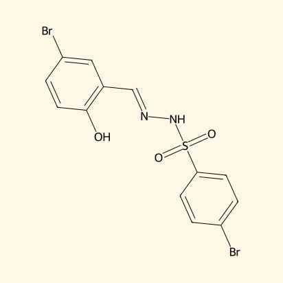 O=S(=O)(NN=Cc1cc(Br)ccc1O)c1ccc(Br)cc1